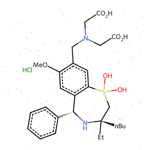 CCCC[C@]1(CC)CS(O)(O)c2cc(CN(CC(=O)O)CC(=O)O)c(OC)cc2[C@@H](c2ccccc2)N1.Cl